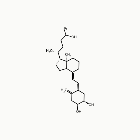 C=C1C[C@H](O)[C@H](O)C/C1=C/C=C1CCC[C@@]2(C)C1CC[C@@H]2[C@H](C)CCC(O)C(C)C